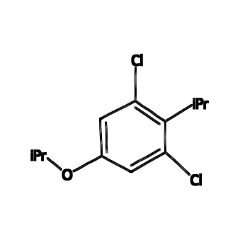 CC(C)Oc1cc(Cl)c(C(C)C)c(Cl)c1